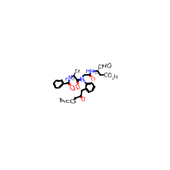 CC[C@H](NC(=O)c1ccccc1)C(=O)N(CC(=O)N[C@H](C=O)CC(=O)O)c1ccccc1CC(=O)COC(C)=O